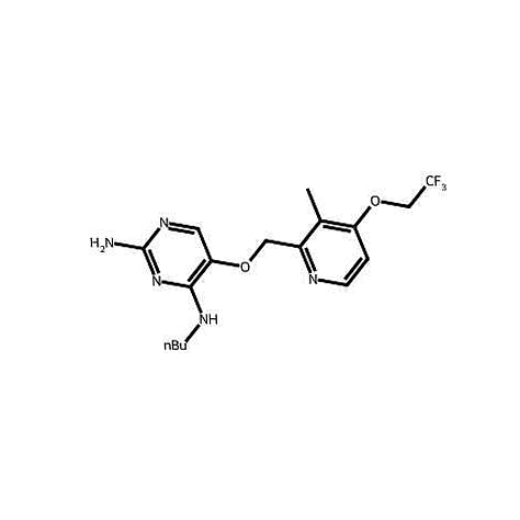 CCCCNc1nc(N)ncc1OCc1nccc(OCC(F)(F)F)c1C